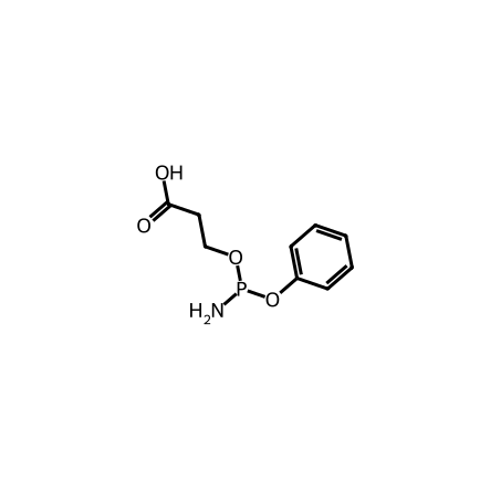 NP(OCCC(=O)O)Oc1ccccc1